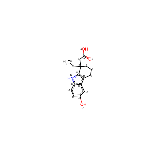 CCC1(CC(=O)O)CCCc2c1[nH]c1ccc(O)cc21